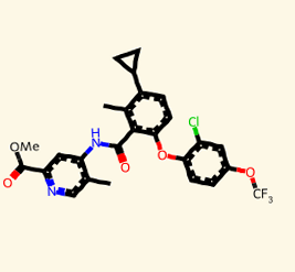 COC(=O)c1cc(NC(=O)c2c(Oc3ccc(OC(F)(F)F)cc3Cl)ccc(C3CC3)c2C)c(C)cn1